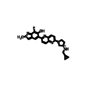 Cn1cc2cc(-c3ccc4nc(N5CC[C@H](NCC6CC6)C5)ccc4n3)c(O)c(F)c2n1